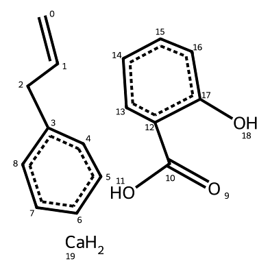 C=CCc1ccccc1.O=C(O)c1ccccc1O.[CaH2]